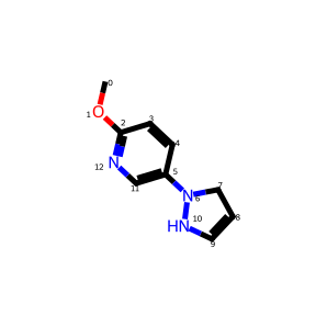 COc1ccc(N2CC=CN2)cn1